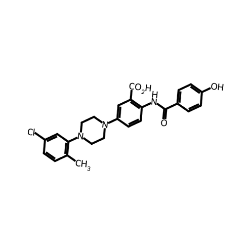 Cc1ccc(Cl)cc1N1CCN(c2ccc(NC(=O)c3ccc(O)cc3)c(C(=O)O)c2)CC1